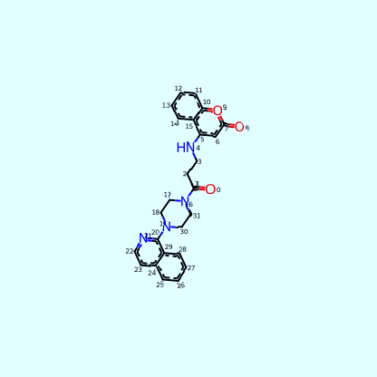 O=C(CCNc1cc(=O)oc2ccccc12)N1CCN(c2nccc3ccccc23)CC1